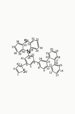 c1csc(-c2cc(-c3ccc4c5ccccc5c5ccccc5c4c3)cc(N3c4ccccc4Sc4ccccc43)c2)c1